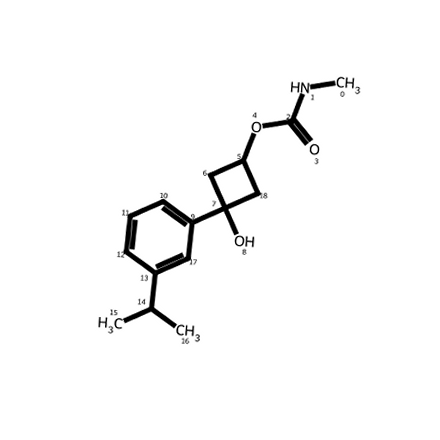 CNC(=O)OC1CC(O)(c2cccc(C(C)C)c2)C1